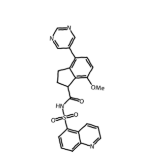 COc1ccc(-c2cncnc2)c2c1C(C(=O)NS(=O)(=O)c1cccc3ncccc13)CC2